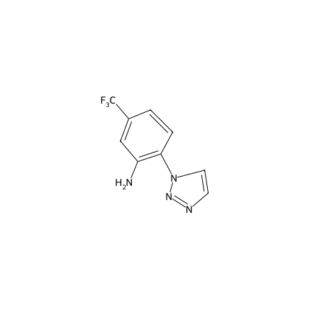 Nc1cc(C(F)(F)F)ccc1-n1ccnn1